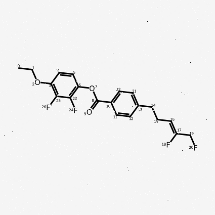 CCOc1ccc(OC(=O)c2ccc(CCC=C(F)CF)cc2)c(F)c1F